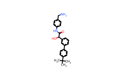 CC(C)(C)c1ccc(-c2cccc(C(O)C(=O)Nc3ccc(CN)cc3)c2)cc1